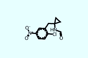 O=CNC1(Cc2cc([N+](=O)[O-])ccc2Cl)CC1